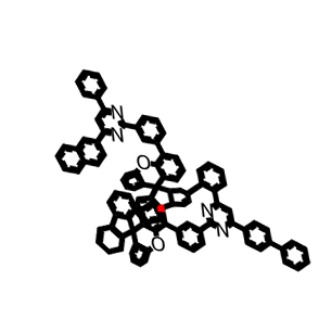 C1=CC2=C(CC1)C1(c3ccccc3Oc3c(-c4cccc(-c5nc(-c6ccc(-c7ccccc7)cc6)cc(-c6ccccc6C6C=CC7c8ccccc8C8(c9ccccc9Oc9c(-c%10cccc(-c%11nc(-c%12ccccc%12)cc(-c%12ccc%13ccccc%13c%12)n%11)c%10)cccc98)C7C6)n5)c4)cccc31)c1ccccc12